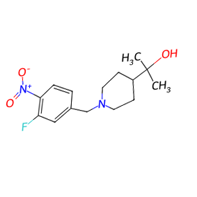 CC(C)(O)C1CCN(Cc2ccc([N+](=O)[O-])c(F)c2)CC1